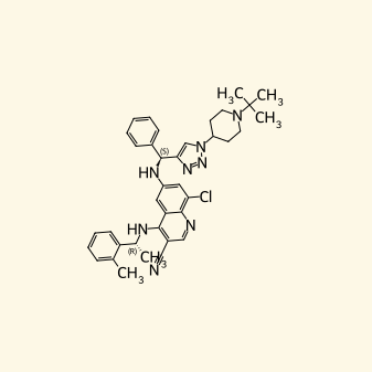 Cc1ccccc1[C@@H](C)Nc1c(C#N)cnc2c(Cl)cc(N[C@@H](c3ccccc3)c3cn(C4CCN(C(C)(C)C)CC4)nn3)cc12